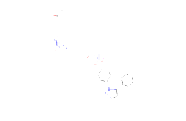 Cc1ccc(-c2cc(C(F)(F)F)nn2-c2ccc(S(=O)(=O)NC(=O)OC3CCN(/[N+]([O-])=N\OCOC(=O)C(C)(C)C)CC3)cc2)cc1